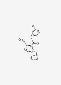 O=CC1OC[C@@H](Cc2ccccc2)N1C(=O)Cc1cccc(Cl)c1